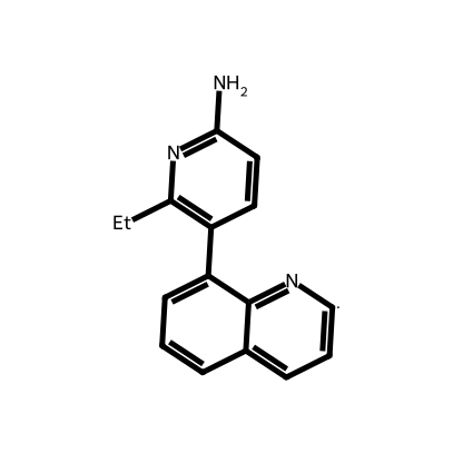 CCc1nc(N)ccc1-c1cccc2cc[c]nc12